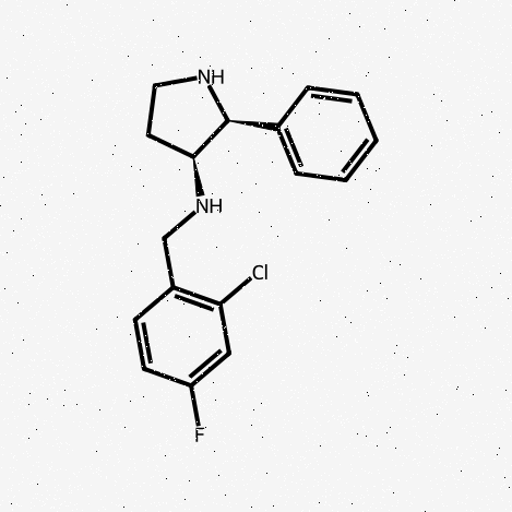 Fc1ccc(CN[C@H]2CCN[C@H]2c2ccccc2)c(Cl)c1